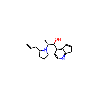 C=CCC1CCCN1[C@@H](C)C(O)c1ccnc2c1C=CC2